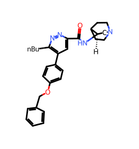 CCCCc1nnc(C(=O)N[C@@H]2CN3CCC2CC3)cc1-c1ccc(OCc2ccccc2)cc1